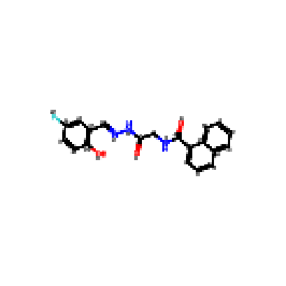 O=C(CNC(=O)c1cccc2ccccc12)N/N=C/c1cc(F)ccc1O